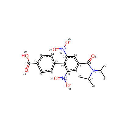 CC(C)N(C(=O)c1cc([N+](=O)[O-])c(-c2ccc(C(=O)O)cc2)c([N+](=O)[O-])c1)C(C)C